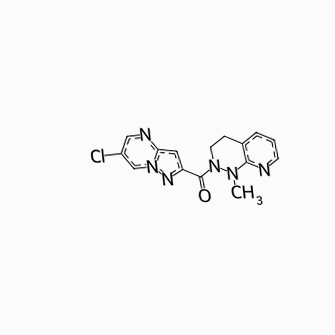 CN1c2ncccc2CCN1C(=O)c1cc2ncc(Cl)cn2n1